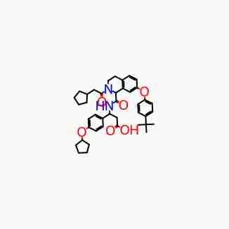 CC(C)(C)c1ccc(Oc2ccc3c(c2)C(C(=O)NC(CC(=O)O)c2ccc(OC4CCCC4)cc2)N(C(=O)CC2CCCC2)CC3)cc1